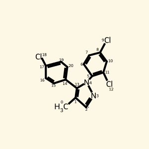 Cc1[c]nn(-c2ccc(Cl)cc2Cl)c1-c1ccc(Cl)cc1